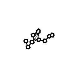 c1ccc(-c2ccccc2-c2ccc(N(c3ccc(-c4cccc(-c5ccc6ccccc6c5)c4)cc3)c3cccc4c3oc3ccccc34)cc2)cc1